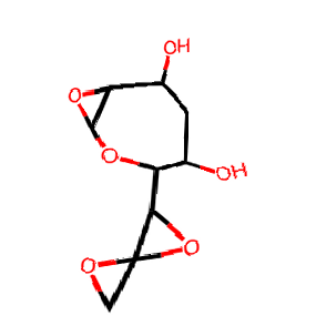 OC1CC(O)C(C2OC23CO3)OC2OC12